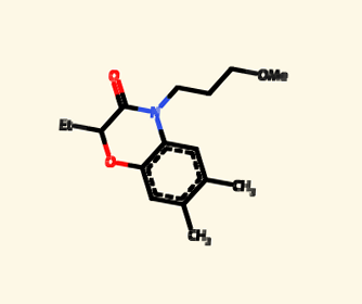 CCC1Oc2cc(C)c(C)cc2N(CCCOC)C1=O